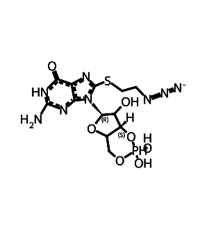 [N-]=[N+]=NCCSc1nc2c(=O)[nH]c(N)nc2n1[C@@H]1OC2CO[PH](O)(O)O[C@H]2C1O